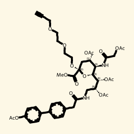 C#CCOCCOCCO[C@]1(C(=O)OC)C[C@H](OC(C)=O)[C@@H](NC(=O)COC(C)=O)[C@H]([C@H](OC(C)=O)[C@@H](CNC(=O)Cc2ccc(-c3ccc(OC(C)=O)cc3)cc2)OC(C)=O)O1